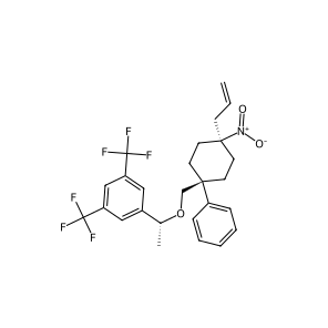 C=CC[C@]1([N+](=O)[O-])CC[C@](CO[C@H](C)c2cc(C(F)(F)F)cc(C(F)(F)F)c2)(c2ccccc2)CC1